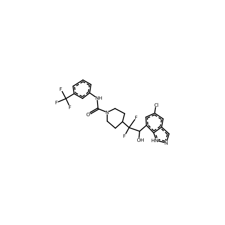 O=C(Nc1cccc(C(F)(F)F)c1)N1CCC(C(F)(F)C(O)c2cc(Cl)cc3cn[nH]c23)CC1